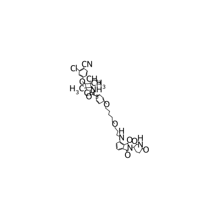 CC1(C)C(NC(=O)c2ccc(OCCCCCOCCCNc3cccc4c3C(=O)N(C3CCC(=O)NC3=O)C4=O)cc2)C(C)(C)C1Oc1ccc(C#N)c(Cl)c1